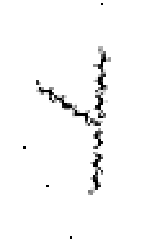 FCCOCCOCCOB(OCCOCCOCCF)OCCOCCOCCF